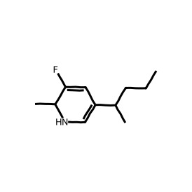 CCCC(C)C1=CNC(C)C(F)=C1